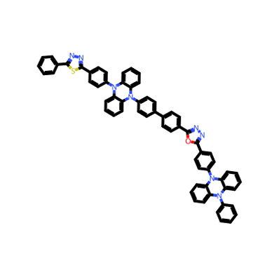 c1ccc(-c2nnc(-c3ccc(N4c5ccccc5N(c5ccc(-c6ccc(-c7nnc(-c8ccc(N9c%10ccccc%10N(c%10ccccc%10)c%10ccccc%109)cc8)o7)cc6)cc5)c5ccccc54)cc3)s2)cc1